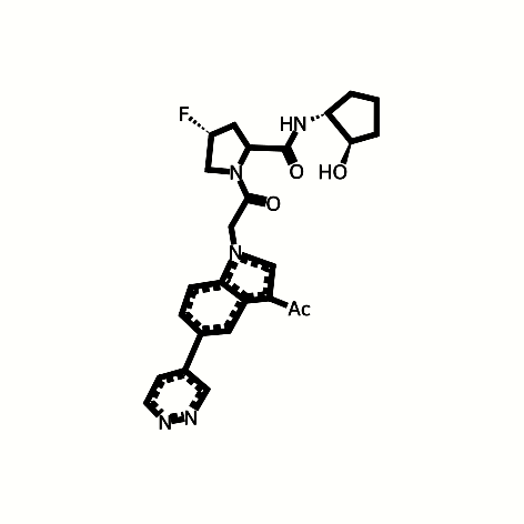 CC(=O)c1cn(CC(=O)N2C[C@H](F)CC2C(=O)N[C@@H]2CCC[C@H]2O)c2ccc(-c3ccnnc3)cc12